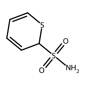 NS(=O)(=O)C1C=CC=CS1